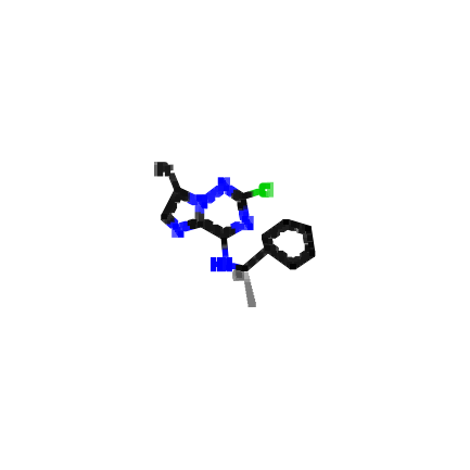 CC(C)c1cnc2c(N[C@@H](C)c3ccccc3)nc(Cl)nn12